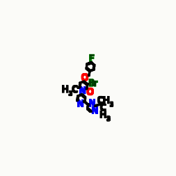 Cc1cc(OCc2ccc(F)cc2)c(Br)c(=O)n1-c1ccnc(-c2ccnc(C(C)C)n2)c1